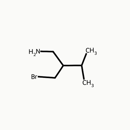 CC(C)C(CN)CBr